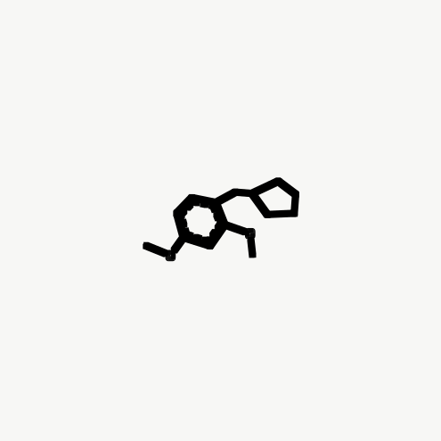 COc1ccc(CC2CCCC2)c(OC)c1